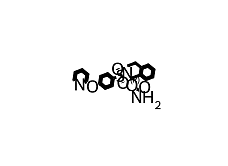 NC(=O)O[C@@H]1c2ccccc2CCN1S(=O)(=O)c1ccc(Oc2ccccn2)cc1